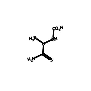 NC(=S)N(N)NC(=O)O